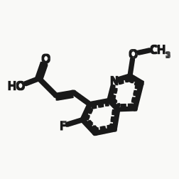 COc1ccc2ccc(F)c(C=CC(=O)O)c2n1